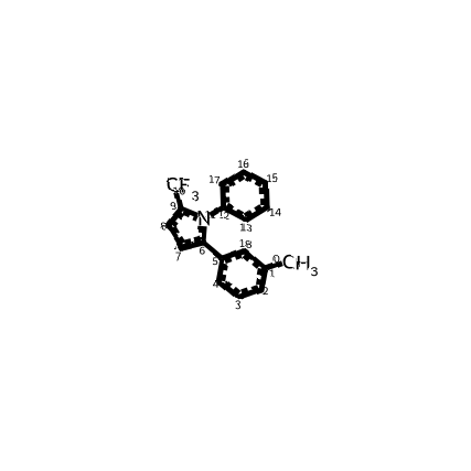 Cc1cccc(-c2[c]cc(C(F)(F)F)n2-c2ccccc2)c1